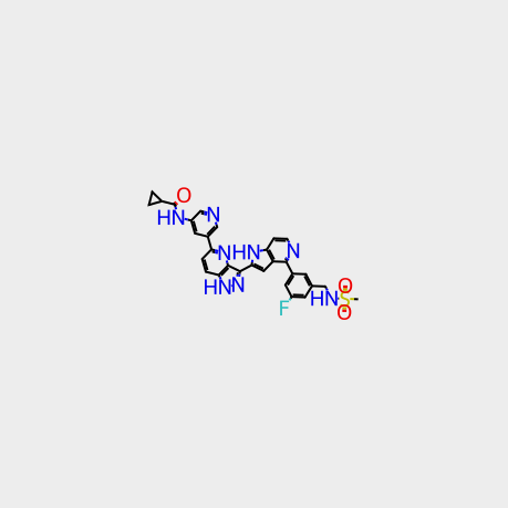 CS(=O)(=O)NCc1cc(F)cc(-c2nccc3[nH]c(-c4n[nH]c5ccc(-c6cncc(NC(=O)C7CC7)c6)nc45)cc23)c1